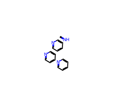 C=N.c1ccncc1.c1ccncc1.c1ccncc1